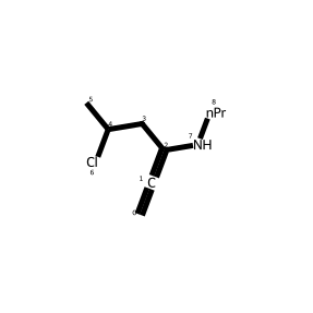 C=C=C(CC(C)Cl)NCCC